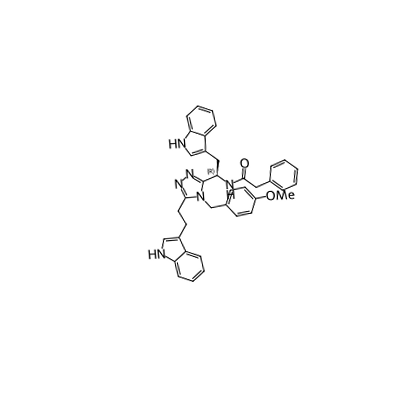 COc1ccc(Cn2c(CCc3c[nH]c4ccccc34)nnc2[C@@H](Cc2c[nH]c3ccccc23)NC(=O)Cc2ccccc2)cc1